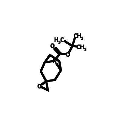 CC(C)(C)OC(=O)N1C2CCC1CC1(CO1)C2